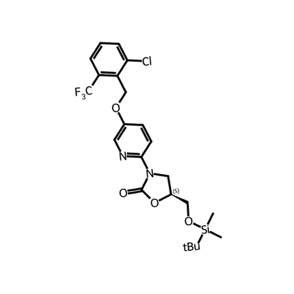 CC(C)(C)[Si](C)(C)OC[C@@H]1CN(c2ccc(OCc3c(Cl)cccc3C(F)(F)F)cn2)C(=O)O1